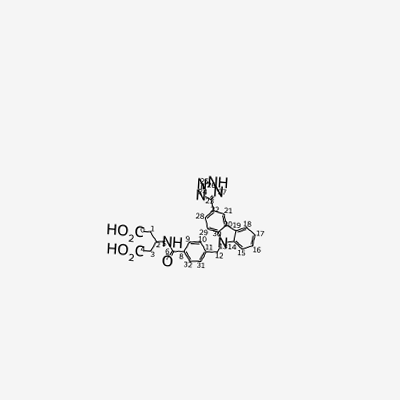 O=C(O)CC(CC(=O)O)NC(=O)c1ccc(Cn2c3ccccc3c3cc(-c4nn[nH]n4)ccc32)cc1